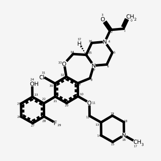 C=CC(=O)N1CCN2Cc3c(OCC4CCN(C)CC4)cc(-c4c(O)cccc4F)c(Cl)c3OC[C@H]2C1